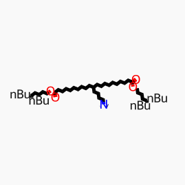 CCCCC(CCCC)CCCCOC(=O)CCCCCCCCCC(CCCCCCCCCC(=O)OCCCCC(CCCC)CCCC)CCCCN(C)C